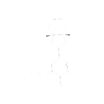 COc1cc(C2=C[C@H]3CNCC[C@H]3C2)cnc1Br